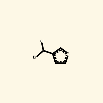 ClC(Br)c1ccsc1